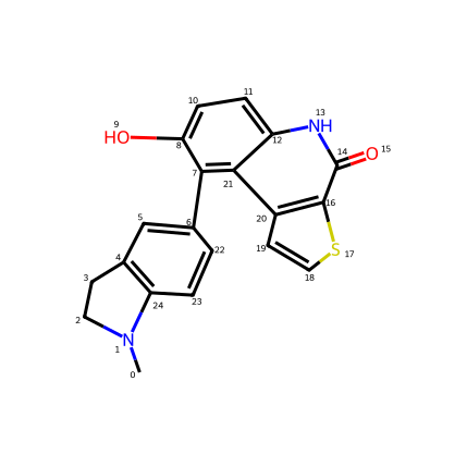 CN1CCc2cc(-c3c(O)ccc4[nH]c(=O)c5sccc5c34)ccc21